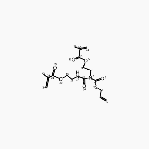 C=CCSC(=O)N(CCOC(=O)C(=C)C)C(=O)NCCOC(=O)C(=C)C